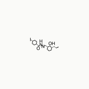 C=CCc1cccc(/C=N/NC(=O)c2ccc(I)cc2)c1O